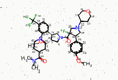 COC[C@H]1CN(C(=O)[C@]2(F)CN(C3CCOCC3)C[C@H]2c2ccc(OC)cc2)C[C@@H]1c1ccc(C(F)(F)F)cc1N1CCC(C(=O)N(C)C)CC1